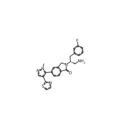 Cn1ncc(-c2nccs2)c1-c1ccc2c(c1)CN([C@H](CN)Cc1cccc(F)c1)C2=O